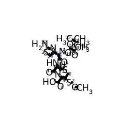 COCSC1=C(C(=O)O)N2C(=O)[C@@H](NC(=O)/C(=N\OC(OC(C)(C)C)C(=O)O)c3csc(N)n3)[C@H]2SC1